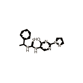 CC(NC(=S)Nc1cnc(-n2cccn2)nc1O)c1ccccc1